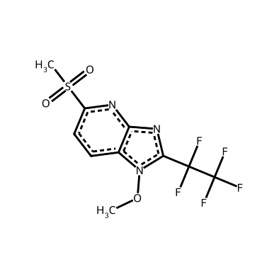 COn1c(C(F)(F)C(F)(F)F)nc2nc(S(C)(=O)=O)ccc21